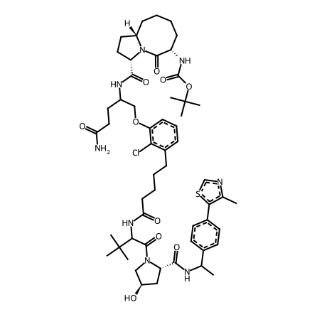 Cc1ncsc1-c1ccc(C(C)NC(=O)[C@@H]2C[C@@H](O)CN2C(=O)C(NC(=O)CCCCc2cccc(OCC(CCC(N)=O)NC(=O)[C@@H]3CC[C@@H]4CCCC[C@H](NC(=O)OC(C)(C)C)C(=O)N43)c2Cl)C(C)(C)C)cc1